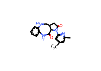 Cc1cc(C(F)(F)F)cc(N2C(=O)CC3CNc4ccccc4NC(=O)C32)n1